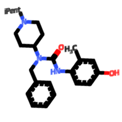 CCCC(C)N1CCC(N(Cc2ccccc2)C(=O)Nc2ccc(O)cc2C)CC1